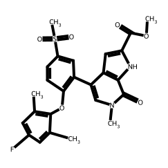 COC(=O)c1cc2c(-c3cc(S(C)(=O)=O)ccc3Oc3c(C)cc(F)cc3C)cn(C)c(=O)c2[nH]1